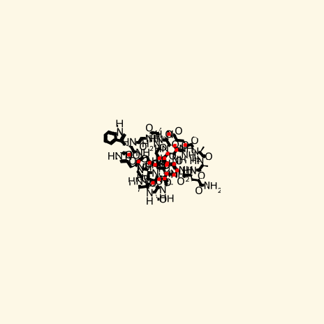 C[C@H](NC(=O)CNC(=O)[C@H](CC(N)=O)NC(=O)[C@H](Cc1c[nH]c2ccccc12)NC(=O)CNC(=O)[C@H](C)NC(=O)[C@H](CCC(N)=O)NC(=O)[C@H](CCC(N)=O)NC(=O)[C@H](CCC(N)=O)NC(=O)[C@H](CCC(N)=O)NC(=O)[C@H](C)NC(=O)[C@H](C)NC(=O)[C@H](CCC(N)=O)NC(=O)[C@H](Cc1c[nH]cn1)NC(=O)CN)C(=O)N[C@@H](CO)C(=O)N[C@@H](C)C(=O)N[C@@H](CO)C(=O)N1CCC[C@H]1C(=O)N[C@@H](Cc1c[nH]cn1)C(=O)O